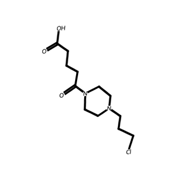 O=C(O)CCCC(=O)N1CCN(CCCCl)CC1